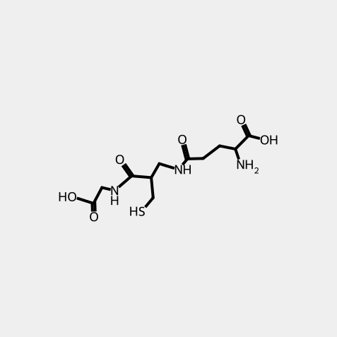 NC(CCC(=O)NCC(CS)C(=O)NCC(=O)O)C(=O)O